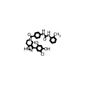 Cc1ccccc1NC(=O)Nc1ccc(C(=O)N2CCc3[nH]nc(-c4cc(Cl)c(O)cc4O)c3C2)cc1